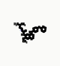 COc1cc2ncnc(Nc3ccc(Oc4ccccn4)cc3)c2cc1NC(=O)/C=C/CN(C)C